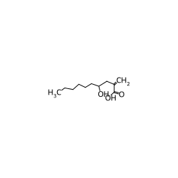 C=C(CC(O)CCCCCC)C(=O)O